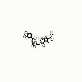 CNC(=O)c1sc2ncn(Cc3nnn(C[C@H](O)c4ccc5c(c4)OCO5)n3)c(=O)c2c1C